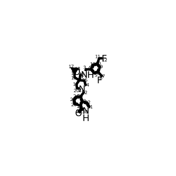 O=C(NCc1cc(CF)cc(CF)c1)C1(CC2CC2)CCN(Cc2cccc3c(=O)[nH]ccc23)CC1